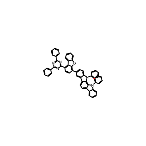 c1ccc(-c2nc(-c3ccccc3)nc(-c3ccc(-c4ccc5c(c4)c4ccc6c7ccccc7n(-c7ccccc7)c6c4n5-c4ccccc4)c4oc5ccccc5c34)n2)cc1